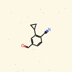 N#Cc1ccc(C=O)cc1C1CC1